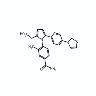 Cc1cc(C(N)=O)ccc1-n1c(CC(=O)O)ccc1-c1ccc(C2C=CSC2)cc1